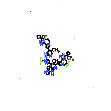 Cc1cnc(Nc2cc(-c3nc(Nc4ccnn4C)nc(-c4cc5n(c4)CC(F)(F)Cn4c-5nnc4C4(C(F)(F)F)CCC4)c3C)nn2C(F)F)cc1-c1cc2n(c1)CCCn1c-2nnc1C1(C(F)(F)F)CCC1